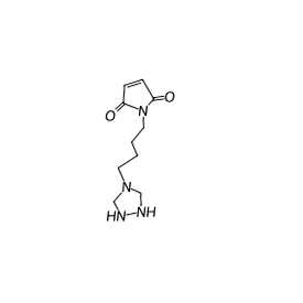 O=C1C=CC(=O)N1CCCCN1CNNC1